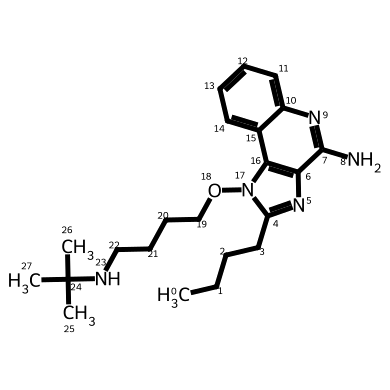 CCCCc1nc2c(N)nc3ccccc3c2n1OCCCCNC(C)(C)C